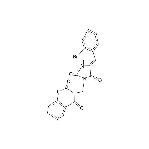 O=C1Oc2ccccc2C(=O)C1CN1C(=O)N/C(=C\c2ccccc2Br)C1=O